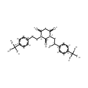 O=C1CC(=O)N(CC(F)c2ccc(C(F)(F)F)cc2)C(=O)N1CCc1ccc(C(F)(F)F)cc1